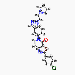 O=C1c2sc(-c3ccc(Cl)cc3)nc2CCN1c1ccc2c(cnn2CCN2CCCC2)c1